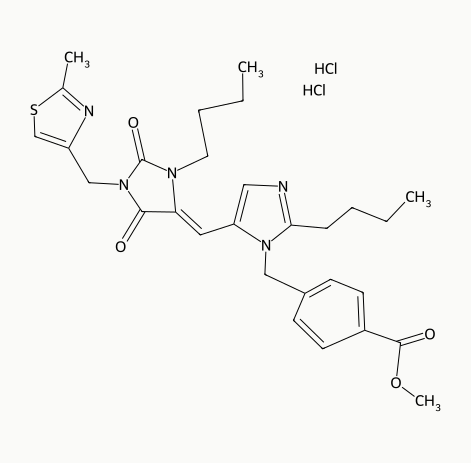 CCCCc1ncc(C=C2C(=O)N(Cc3csc(C)n3)C(=O)N2CCCC)n1Cc1ccc(C(=O)OC)cc1.Cl.Cl